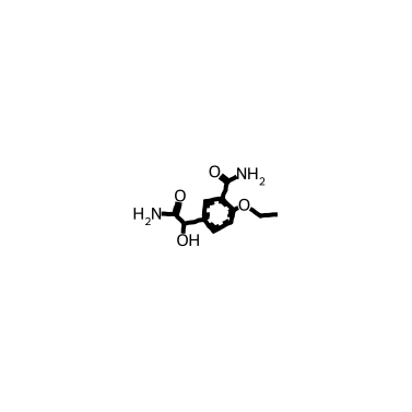 CCOc1ccc(C(O)C(N)=O)cc1C(N)=O